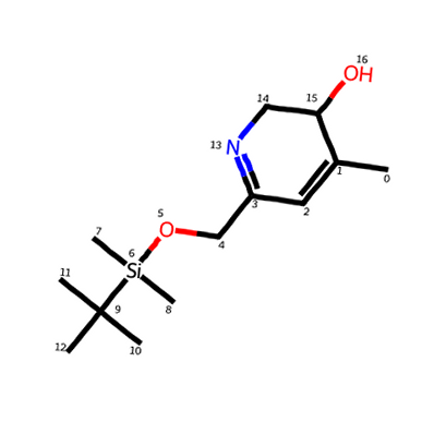 CC1=CC(CO[Si](C)(C)C(C)(C)C)=NCC1O